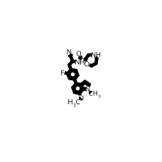 COc1ccc(-c2ccc(CC(C#N)NC(=O)[C@@H]3CNCCCO3)c(F)c2)c2ccn(C)c12